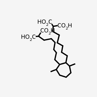 CC1CCCC(C)C(CCCCCCC(C(=O)O)C(=O)O)C1CCCCCCC(C(=O)O)C(=O)O